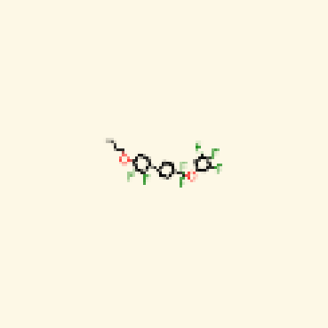 CCCCOc1ccc(-c2ccc(C(F)(F)Oc3cc(F)c(F)c(F)c3)cc2)c(F)c1F